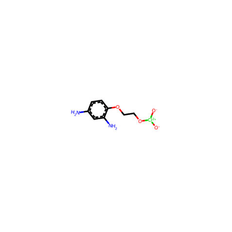 Nc1ccc(OCCO[Cl+2]([O-])[O-])c(N)c1